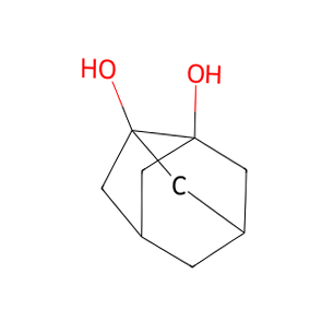 OC12CC3CC(C1)CC2(O)C3